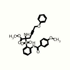 COC(=O)C(N)(CC#CCOc1ccccc1)S(=O)(=O)c1ccccc1NC(=O)c1ccc(OC)cc1